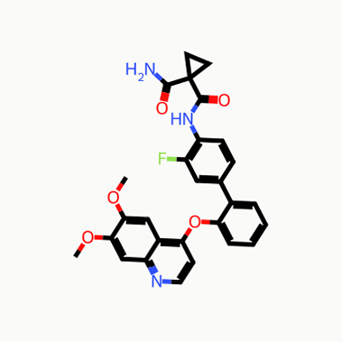 COc1cc2nccc(Oc3ccccc3-c3ccc(NC(=O)C4(C(N)=O)CC4)c(F)c3)c2cc1OC